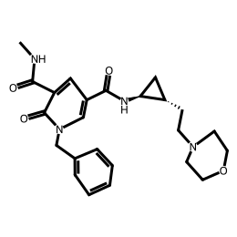 CNC(=O)c1cc(C(=O)N[C@H]2C[C@@H]2CCN2CCOCC2)cn(Cc2ccccc2)c1=O